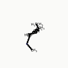 CCCCCCCC/C=C\CCCCCCCC(=O)OC(CO)COC1CC[C@@]2(C)C(=CCC3C2CC[C@@]2(C)C3CC[C@@H]2[C@H](C)CCCC(C)C)C1